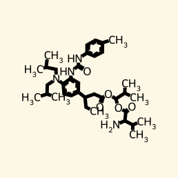 CCC(CC(=O)OC(OC(=O)C(N)C(C)C)C(C)C)c1ccc(N(CC(C)C)CC(C)C)c(NC(=O)Nc2ccc(C)cc2)c1